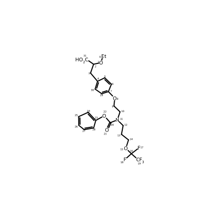 CCOC(Cc1ccc(OCCN(CCCOC(F)(F)C(F)(F)F)C(=O)Oc2ccccc2)cc1)C(=O)O